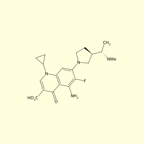 CN[C@@H](C)[C@@H]1CCN(c2cc3c(c(N)c2F)c(=O)c(C(=O)O)cn3C2CC2)C1